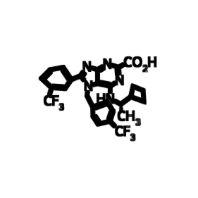 C[C@@H](Nc1nc(C(=O)O)nc2nc(-c3cccc(C(F)(F)F)c3)n(Cc3ccc(C(F)(F)F)cc3)c12)C1CCC1